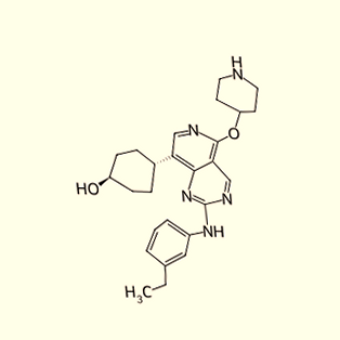 CCc1cccc(Nc2ncc3c(OC4CCNCC4)ncc([C@H]4CC[C@H](O)CC4)c3n2)c1